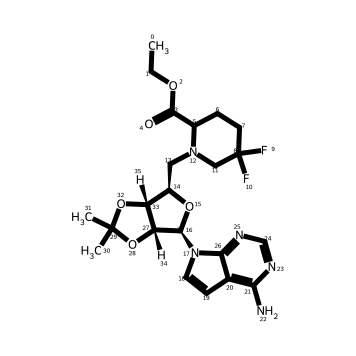 CCOC(=O)C1CCC(F)(F)CN1C[C@H]1O[C@@H](n2ccc3c(N)ncnc32)[C@@H]2OC(C)(C)O[C@@H]21